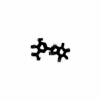 Cn1c(=O)c2[nH]c(-c3cc(O)c(O)c([N+](=O)[O-])c3)nc2n(C)c1=O